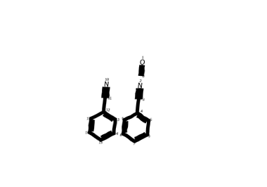 C=O.N#Cc1ccccc1.N#Cc1ccccc1